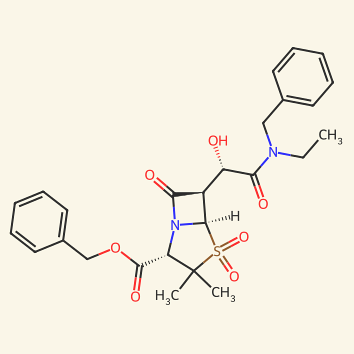 CCN(Cc1ccccc1)C(=O)[C@@H](O)[C@@H]1C(=O)N2[C@@H](C(=O)OCc3ccccc3)C(C)(C)S(=O)(=O)[C@H]12